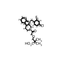 CC(C)(COCC(=O)N1CCc2c(n(Cc3ccc(Cl)cc3F)c3ncccc23)C1)C(=O)O